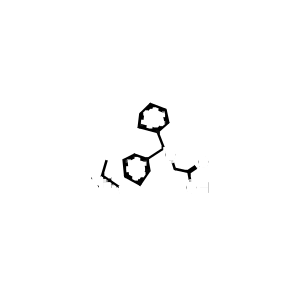 CCC.N.O=C(O)COC(c1ccccc1)c1ccccc1